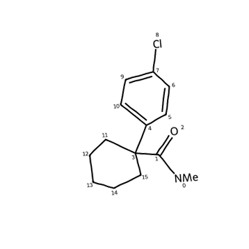 CNC(=O)C1(c2ccc(Cl)cc2)CCCCC1